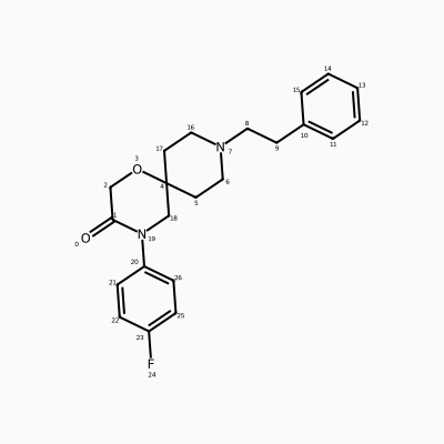 O=C1COC2(CCN(CCc3ccccc3)CC2)CN1c1ccc(F)cc1